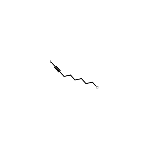 ClCCCCCCC#CI